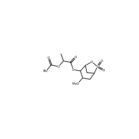 CCC(C)C(=O)OC(C)C(=O)OC1C(OC)CC2CC1OS2(=O)=O